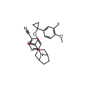 COc1ccc(C2(OCC(=O)N3CC4CCC(C3)N4c3ccc(C#N)cn3)CC2)cc1F